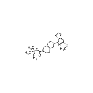 COc1cc2sccc2c(-c2ccc3c(c2)CCN(C(=O)OC(C)(C)C)C3)n1